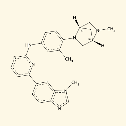 Cc1cc(Nc2nccc(-c3ccc4ncn(C)c4c3)n2)ccc1N1C[C@@H]2C[C@H]1CN2C